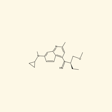 CC[C@H](COC)C(=N)c1cc(C)nc2cc(N(C)C3CC3)ccc12